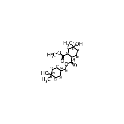 COC(=O)C1CC(C)(O)CCC1C(=O)OCC1CCC(C)(O)CC1